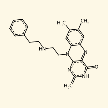 C=c1nc2c(c(=O)[nH]1)=Nc1cc(C)c(C)cc1N2CCNCCc1ccccc1